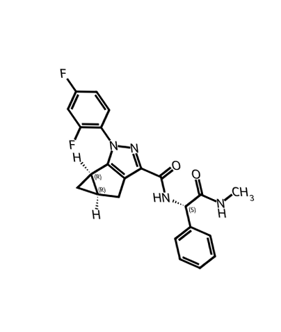 CNC(=O)[C@@H](NC(=O)c1nn(-c2ccc(F)cc2F)c2c1C[C@H]1C[C@@H]21)c1ccccc1